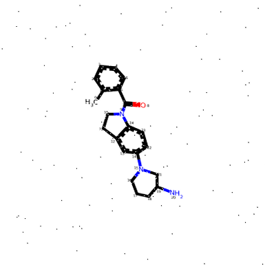 Cc1ccccc1C(=O)N1CCc2cc(N3CCCC(N)C3)ccc21